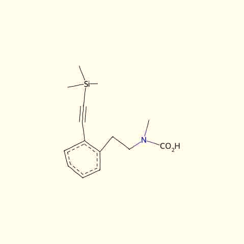 CN(CCc1ccccc1C#C[Si](C)(C)C)C(=O)O